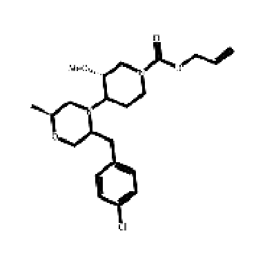 C=CCOC(=O)N1CCC(N2C[C@H](C)OCC2Cc2ccc(Cl)cc2)[C@H](OC)C1